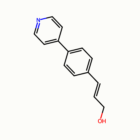 OCC=Cc1ccc(-c2ccncc2)cc1